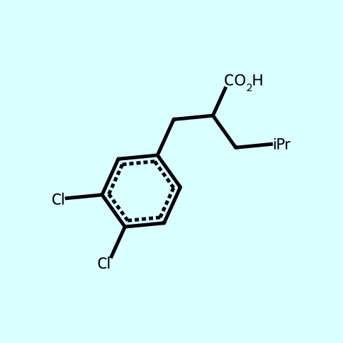 CC(C)CC(Cc1ccc(Cl)c(Cl)c1)C(=O)O